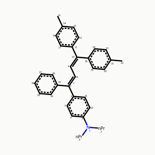 CCCN(CCC)c1ccc(/C(=C/C=C(c2ccc(C)cc2)c2ccc(C)cc2)c2ccccc2)cc1